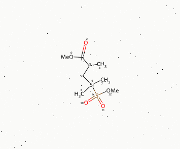 COC(=O)C(C)C[Si](C)(C)S(=O)(=O)OC